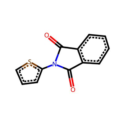 O=C1c2ccccc2C(=O)N1c1cccs1